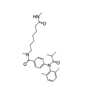 CNC(=O)CCCCCCN(C)C(=O)c1ccc(N(C(=O)C(C)C)c2c(C)cccc2C)cc1